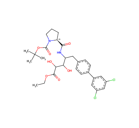 CCOC(=O)C(O)C(O)C(Cc1ccc(-c2cc(Cl)cc(Cl)c2)cc1)NC(=O)[C@@H]1CCCN1C(=O)OC(C)(C)C